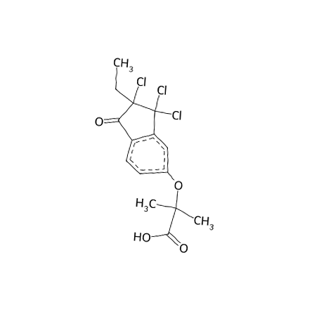 CCC1(Cl)C(=O)c2ccc(OC(C)(C)C(=O)O)cc2C1(Cl)Cl